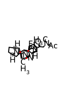 CC[C@H](NC(=O)CN(C)C(C)=O)c1cccc(N2[C@@H]3CC[C@H]2C[C@@H](n2c(C)nc4ccccc42)C3)c1